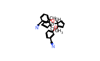 CC1=CC=C[C]1(C)[Zr]([O]c1cccc(C#N)c1)([O]c1cccc(C#N)c1)[C]1(C)C=CC=C1C